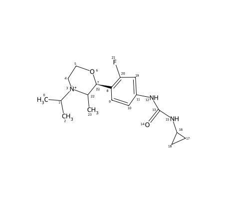 CC(C)[N+]1CCO[C@@H](c2ccc(NC(=O)NC3CC3)cc2F)C1C